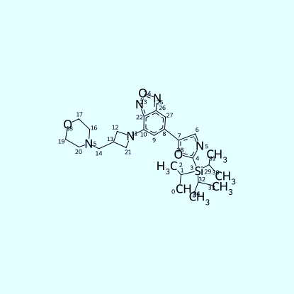 CC(C)[Si](c1ncc(-c2cc(N3CC(CN4CCOCC4)C3)c3nonc3c2)o1)(C(C)C)C(C)C